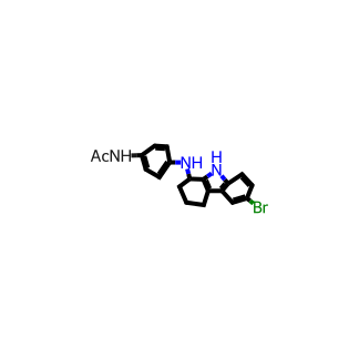 CC(=O)Nc1ccc(NC2CCCc3c2[nH]c2ccc(Br)cc32)cc1